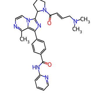 Cc1nccn2c(C3CCCN3C(=O)C=CCN(C)C)nc(-c3ccc(C(=O)Nc4ccccn4)cc3)c12